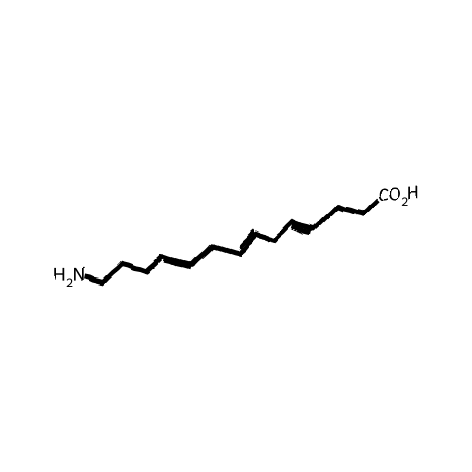 NCCC/C=C/C/C=C/C/C=C/CCC(=O)O